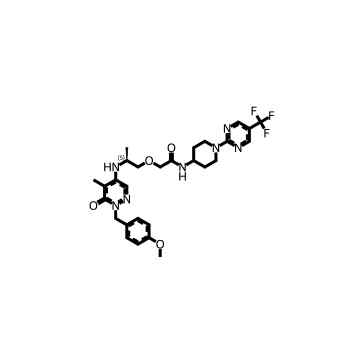 COc1ccc(Cn2ncc(N[C@@H](C)COCC(=O)NC3CCN(c4ncc(C(F)(F)F)cn4)CC3)c(C)c2=O)cc1